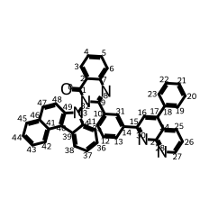 O=c1c2ccccc2nc(-c2cccc(-c3cc(-c4ccccc4)c4cccnc4n3)c2)n1-n1c2ccccc2c2c3ccccc3ccc21